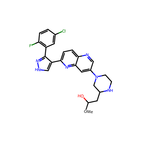 COC(O)CC1CN(c2cnc3ccc(-c4c[nH]nc4-c4cc(Cl)ccc4F)nc3c2)CCN1